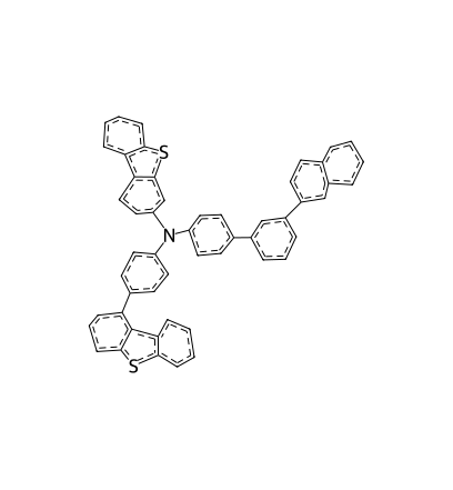 c1cc(-c2ccc(N(c3ccc(-c4cccc5sc6ccccc6c45)cc3)c3ccc4c(c3)sc3ccccc34)cc2)cc(-c2ccc3ccccc3c2)c1